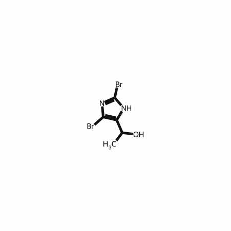 CC(O)c1[nH]c(Br)nc1Br